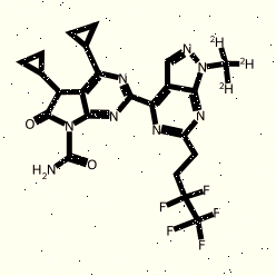 [2H]C([2H])([2H])n1ncc2c(-c3nc(C4CC4)c4c(n3)N(C(N)=O)C(=O)C4C3CC3)nc(CCC(F)(F)C(F)(F)F)nc21